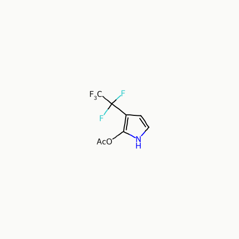 CC(=O)Oc1[nH]ccc1C(F)(F)C(F)(F)F